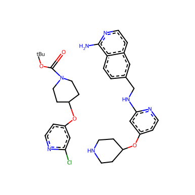 CC(C)(C)OC(=O)N1CCC(Oc2ccnc(Cl)c2)CC1.Nc1nccc2cc(CNc3cc(OC4CCNCC4)ccn3)ccc12